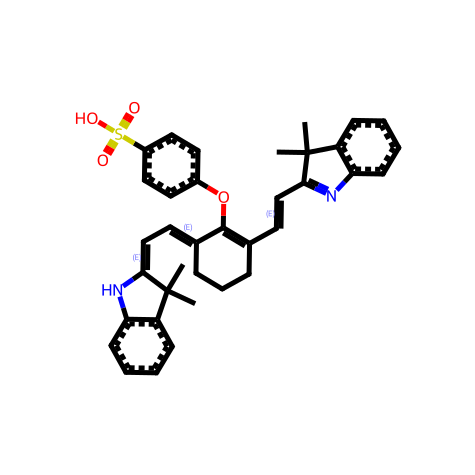 CC1(C)C(/C=C/C2=C(Oc3ccc(S(=O)(=O)O)cc3)C(=C/C=C3/Nc4ccccc4C3(C)C)/CCC2)=Nc2ccccc21